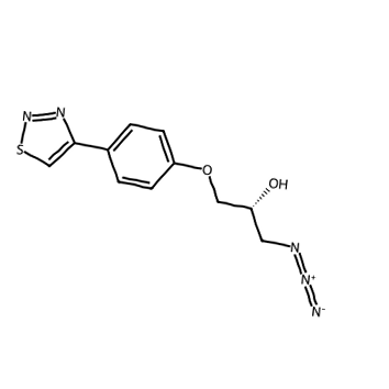 [N-]=[N+]=NC[C@@H](O)COc1ccc(-c2csnn2)cc1